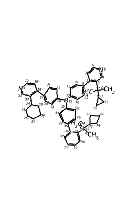 CC(C)(c1cnccc1-c1ccc(B(c2ccc(-c3ccncc3C3CCCCC3)cc2)c2ccc(-c3ccccc3[Si](C)(C)C3CCC3)cc2)cc1)C1CC1